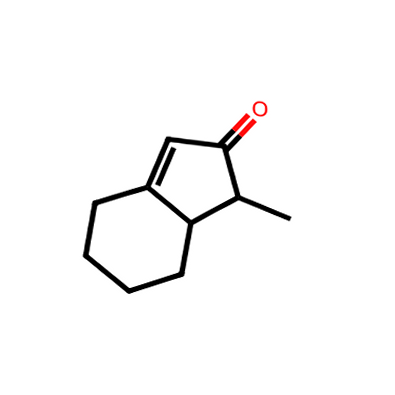 CC1C(=O)C=C2CCCCC21